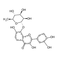 C[C@@H]1O[C@@H](Oc2c(O)ccc3c(=O)c(O)c(-c4ccc(O)c(O)c4)oc23)[C@H](O)[C@H](O)[C@H]1O